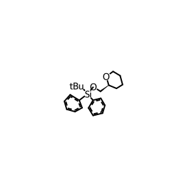 CC(C)(C)[Si](OC[C@@H]1CCCCO1)(c1ccccc1)c1ccccc1